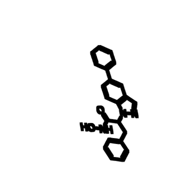 O=C(NO)C(Cc1ccccc1)n1ncc2cc(-c3ccccc3)ccc21